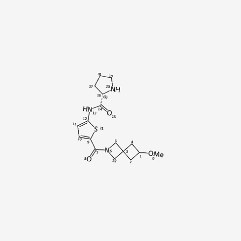 COC1CC2(C1)CN(C(=O)c1ccc(NC(=O)[C@@H]3CCCN3)s1)C2